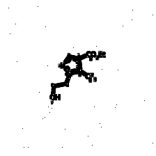 CCOC(=O)c1cnn(CCO)c1C(F)(F)F